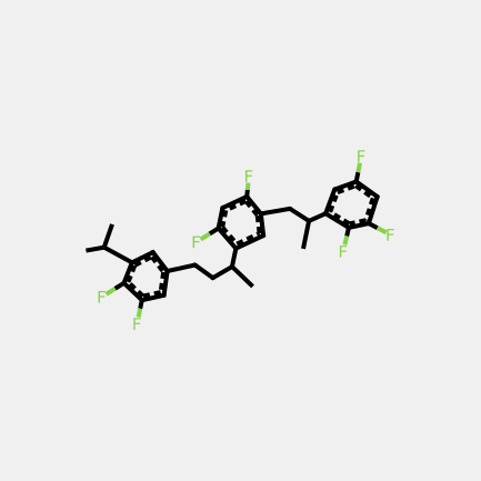 CC(C)c1cc(CCC(C)c2cc(CC(C)c3cc(F)cc(F)c3F)c(F)cc2F)cc(F)c1F